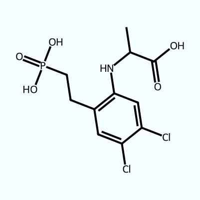 CC(Nc1cc(Cl)c(Cl)cc1CCP(=O)(O)O)C(=O)O